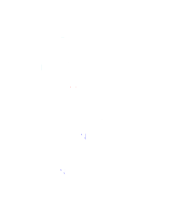 FC(F)(F)Oc1ccccc1-n1[c]ncc1